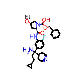 CCO[C@@H]1C[C@H](C(=O)Nc2cc(C(N)(CCC3CC3)c3ccncc3)ccc2F)N(C(O)OCc2ccccc2)C1